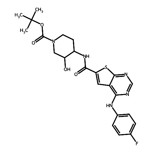 CC(C)(C)OC(=O)N1CCC(NC(=O)c2cc3c(Nc4ccc(F)cc4)ncnc3s2)C(O)C1